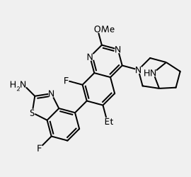 CCc1cc2c(N3CC4CCC(C3)N4)nc(OC)nc2c(F)c1-c1ccc(F)c2sc(N)nc12